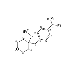 CCC(c1ccc(CC2(CC(C)C)CCOCC2)cc1)C(C)C